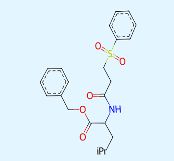 CC(C)CC(NC(=O)CCS(=O)(=O)c1ccccc1)C(=O)OCc1ccccc1